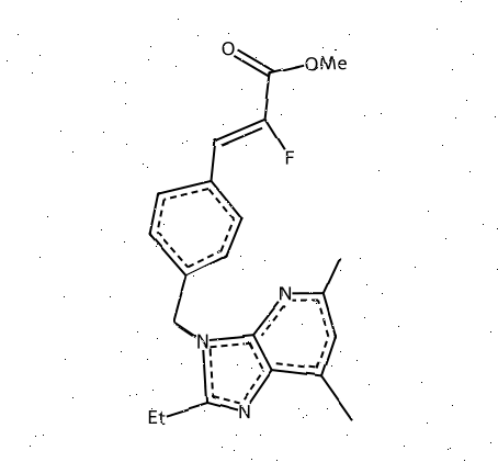 CCc1nc2c(C)cc(C)nc2n1Cc1ccc(C=C(F)C(=O)OC)cc1